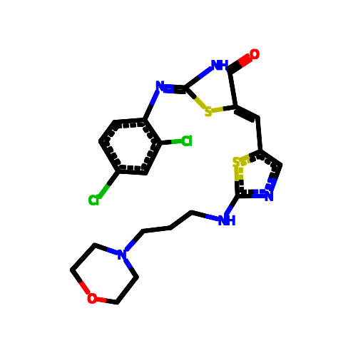 O=C1NC(=Nc2ccc(Cl)cc2Cl)SC1=Cc1cnc(NCCCN2CCOCC2)s1